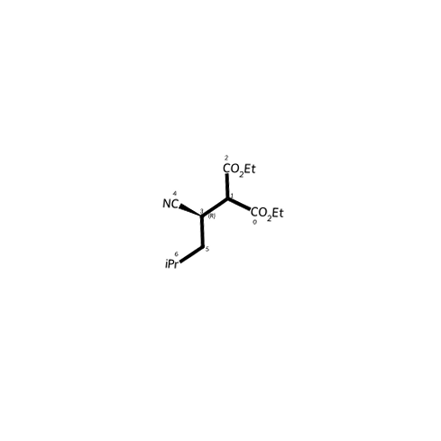 CCOC(=O)C(C(=O)OCC)[C@H](C#N)CC(C)C